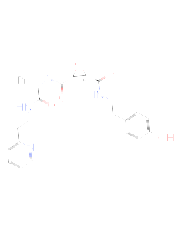 CCC[C@H](NC(=O)C1O[C@H]1C(=O)NCCc1ccc(O)cc1)C(=O)NCCc1ccccn1